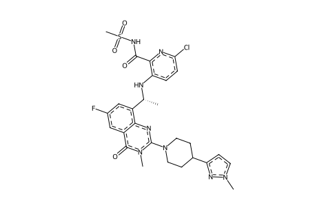 C[C@@H](Nc1ccc(Cl)nc1C(=O)NS(C)(=O)=O)c1cc(F)cc2c(=O)n(C)c(N3CCC(c4ccn(C)n4)CC3)nc12